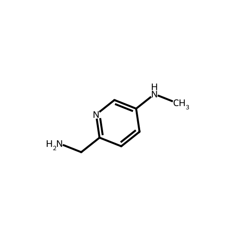 CNc1ccc(CN)nc1